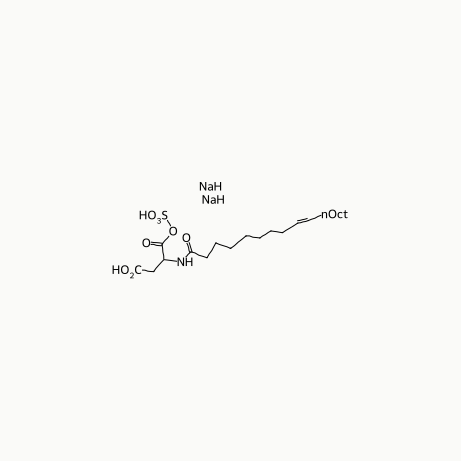 CCCCCCCCC=CCCCCCCCC(=O)NC(CC(=O)O)C(=O)OS(=O)(=O)O.[NaH].[NaH]